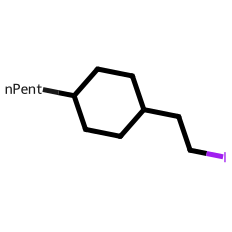 CCCCCC1CCC(CCI)CC1